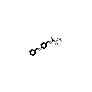 CN(C)C(=O)OCc1ccc(OCc2ccccc2)cc1